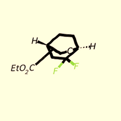 CCOC(=O)C1CC[C@H]2CC[C@H]1CC2(F)F